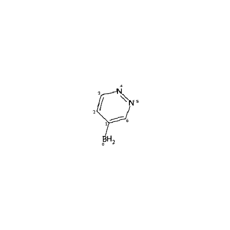 Bc1ccnnc1